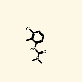 Cc1c(Cl)cccc1NC(=O)N(C)C